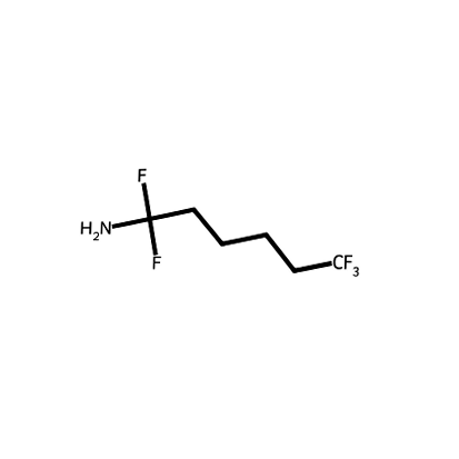 NC(F)(F)CCCCC(F)(F)F